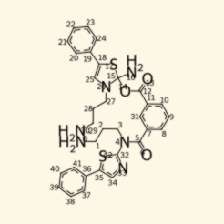 NCCCN(C(=O)c1cccc(C(=O)OC2(N)SC(c3ccccc3)=CN2CCCN)c1)c1ncc(-c2ccccc2)s1